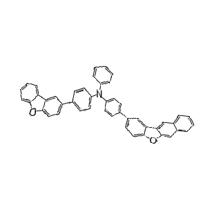 c1ccc(N(c2ccc(-c3ccc4oc5ccccc5c4c3)cc2)c2ccc(-c3ccc4oc5cc6ccccc6cc5c4c3)cc2)cc1